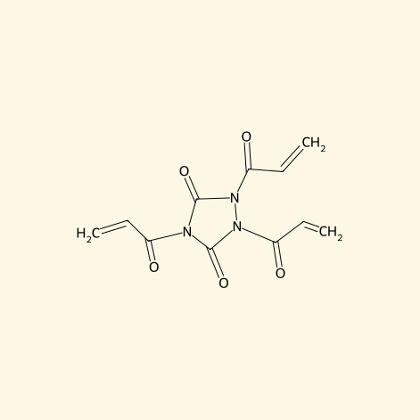 C=CC(=O)n1c(=O)n(C(=O)C=C)n(C(=O)C=C)c1=O